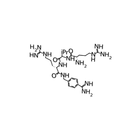 CC(C)C(NC(=O)[C@@H](N)CCCNC(=N)N)C(=O)N[C@@H](CCCNC(=N)N)C(=O)NCc1ccc(C(=N)N)cc1